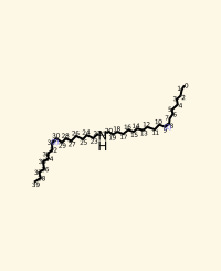 CCCCCCCC/C=C\CCCCCCCCCCCNCCCCCCCC/C=C\CCCCCCCC